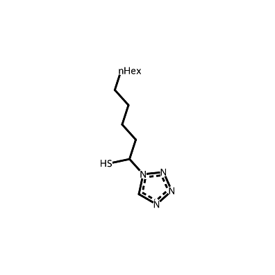 CCCCCCCCCCC(S)n1cnnn1